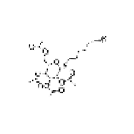 CC(=O)OC[C@H]1O[C@H](SCCCCCC#N)[C@@H](OC(C)=O)[C@@H](OC(C)=O)[C@@H]1OC(C)=O